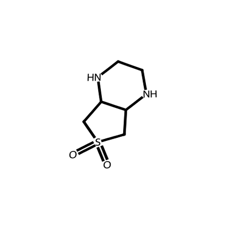 O=S1(=O)CC2NCCNC2C1